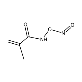 C=C(C)C(=O)NON=O